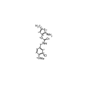 COc1ccc(CNC(=O)Oc2cc(C)sc2N)cc1Cl